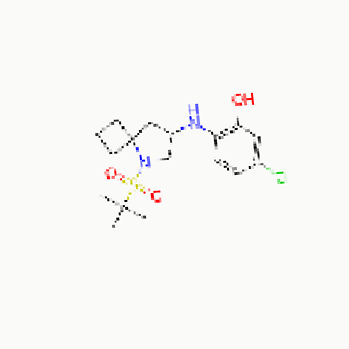 CC(C)(C)S(=O)(=O)N1CC(Nc2ccc(Cl)cc2O)CC12CCC2